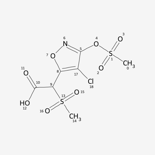 CS(=O)(=O)Oc1noc(C(C(=O)O)S(C)(=O)=O)c1Cl